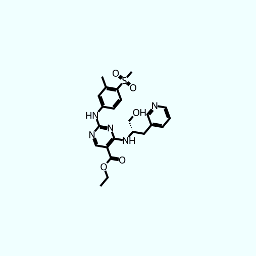 CCOC(=O)c1cnc(Nc2ccc(S(C)(=O)=O)c(C)c2)nc1N[C@H](CO)Cc1cccnc1